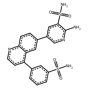 Nc1ncc(-c2ccc3nccc(-c4cccc(S(N)(=O)=O)c4)c3c2)cc1S(N)(=O)=O